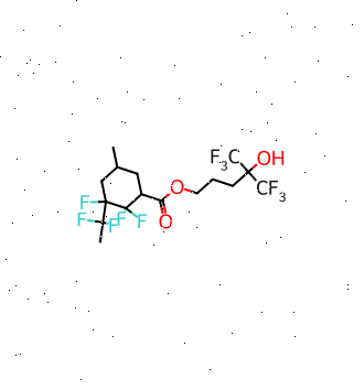 CC1CC(C(=O)OCCCC(O)(C(F)(F)F)C(F)(F)F)C(F)(F)C(F)(C(C)(F)F)C1